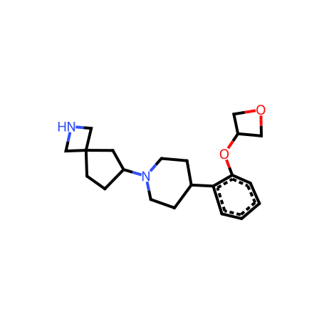 c1ccc(C2CCN(C3CCC4(CNC4)C3)CC2)c(OC2COC2)c1